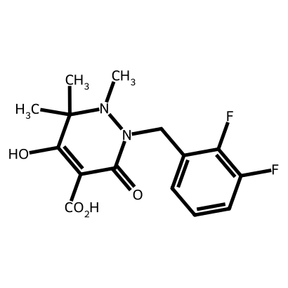 CN1N(Cc2cccc(F)c2F)C(=O)C(C(=O)O)=C(O)C1(C)C